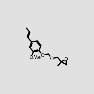 C/C=C/c1ccc(OCOCC2(C)CO2)c(OC)c1